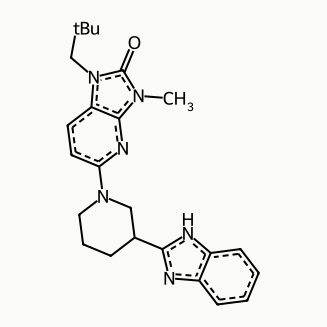 Cn1c(=O)n(CC(C)(C)C)c2ccc(N3CCCC(c4nc5ccccc5[nH]4)C3)nc21